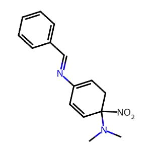 CN(C)C1([N+](=O)[O-])C=CC(N=Cc2ccccc2)=CC1